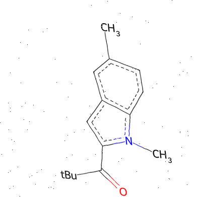 Cc1ccc2c(c1)cc(C(=O)C(C)(C)C)n2C